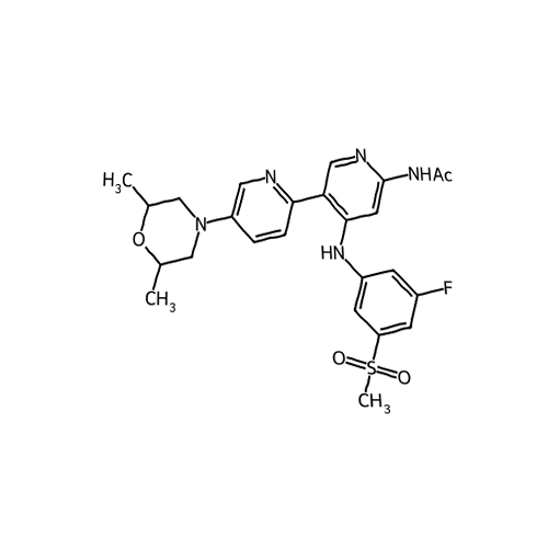 CC(=O)Nc1cc(Nc2cc(F)cc(S(C)(=O)=O)c2)c(-c2ccc(N3CC(C)OC(C)C3)cn2)cn1